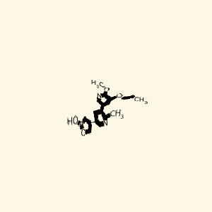 CCCOc1cc(-c2cc([C@@H]3COB(O)C3)cnc2C)cnc1OC